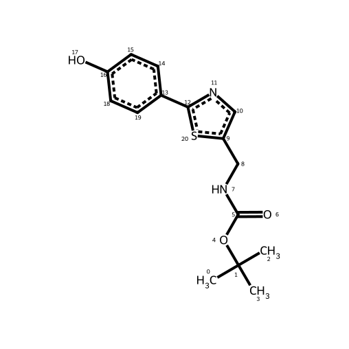 CC(C)(C)OC(=O)NCc1cnc(-c2ccc(O)cc2)s1